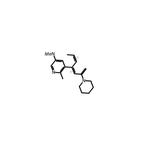 C=C(/C=C(\C=C/C)c1cc(NC)cnc1C)N1CCCCC1